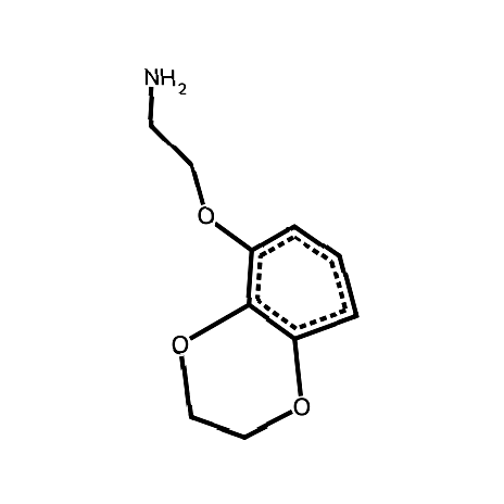 NCCOc1cccc2c1OCCO2